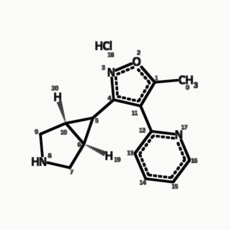 Cc1onc(C2[C@H]3CNC[C@@H]23)c1-c1ccccn1.Cl